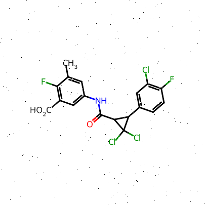 Cc1cc(NC(=O)C2C(c3ccc(F)c(Cl)c3)C2(Cl)Cl)cc(C(=O)O)c1F